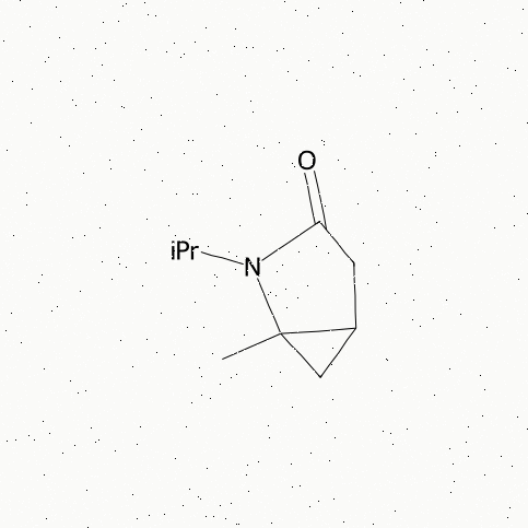 CC(C)N1C(=O)CC2CC21C